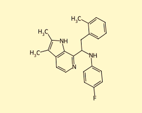 Cc1ccccc1CC(Nc1ccc(F)cc1)c1nccc2c(C)c(C)[nH]c12